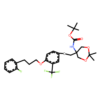 CC(C)(C)OC(=O)NC1(CCc2ccc(OCCCc3ccccc3F)c(C(F)(F)F)c2)COC(C)(C)OC1